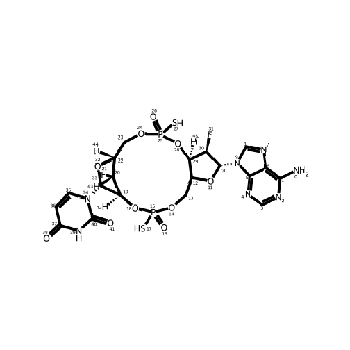 Nc1ncnc2c1ncn2[C@@H]1OC2COP(=O)(S)O[C@@H]3[C@H](F)[C@@H](COP(=O)(S)O[C@H]2[C@H]1F)O[C@H]3n1ccc(=O)[nH]c1=O